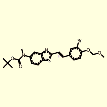 COCOc1ccc(/C=C/c2nc3cc(N(C)C(=O)OC(C)(C)C)ccc3s2)cc1Br